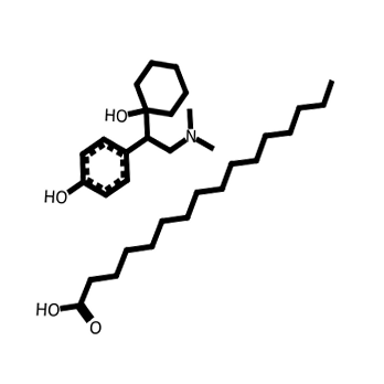 CCCCCCCCCCCCCCCC(=O)O.CN(C)CC(c1ccc(O)cc1)C1(O)CCCCC1